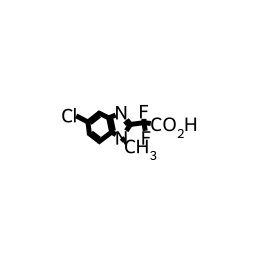 Cn1c(C(F)(F)C(=O)O)nc2cc(Cl)ccc21